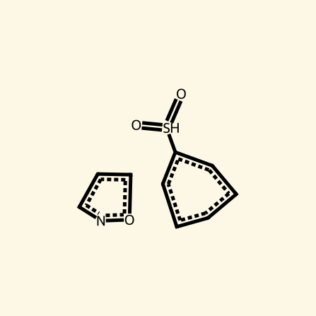 O=[SH](=O)c1ccccc1.c1cnoc1